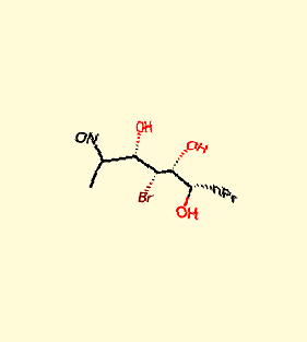 CCC[C@H](O)[C@@H](O)[C@H](Br)[C@@H](O)C(C)N=O